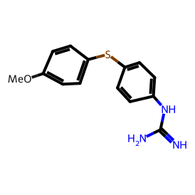 COc1ccc(Sc2ccc(NC(=N)N)cc2)cc1